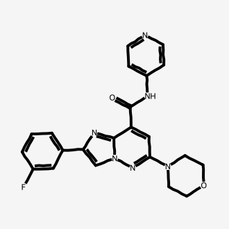 O=C(Nc1ccncc1)c1cc(N2CCOCC2)nn2cc(-c3cccc(F)c3)nc12